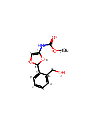 CC(C)(C)OC(=O)NC1=COC(c2ccccc2CO)O1